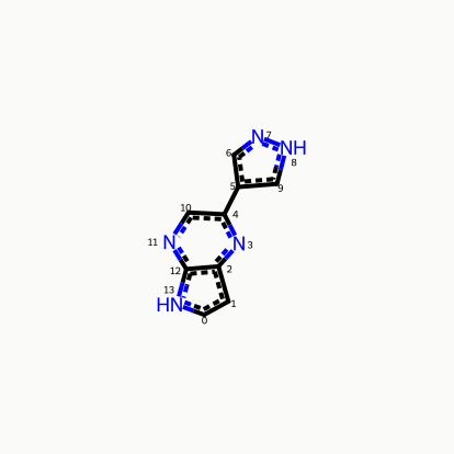 c1cc2nc(-c3cn[nH]c3)cnc2[nH]1